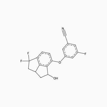 N#Cc1cc(F)cc(Oc2ccc3c4c2C(O)CC4CC3(F)F)c1